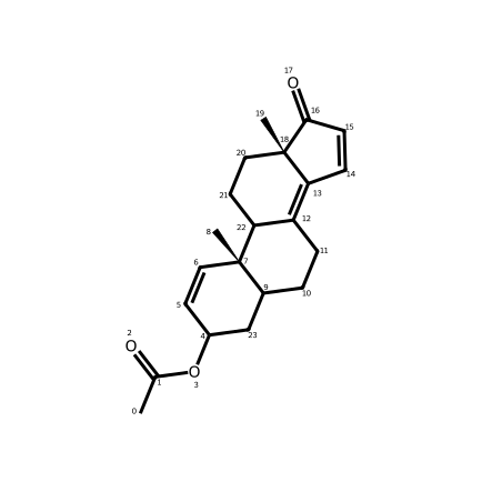 CC(=O)OC1C=C[C@@]2(C)C(CCC3=C4C=CC(=O)[C@@]4(C)CCC32)C1